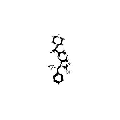 C[C@@H](c1ccccc1)n1c(O)nc2ncc(C(=O)N3CCOCC3)nc21